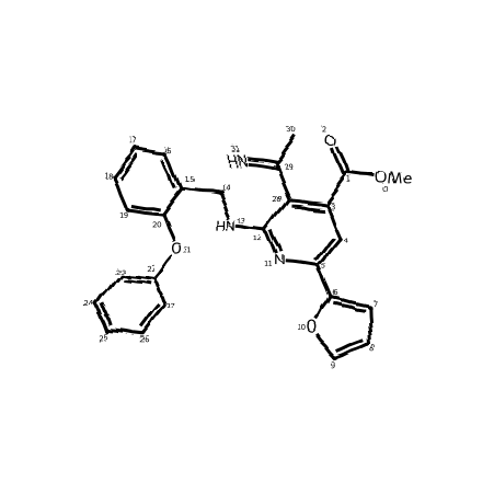 COC(=O)c1cc(-c2ccco2)nc(NCc2ccccc2Oc2ccccc2)c1C(C)=N